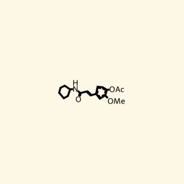 COc1cc(C=CC(=O)NC2CCCCC2)ccc1OC(C)=O